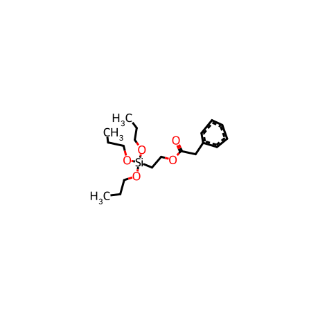 CCCO[Si](CCOC(=O)Cc1ccccc1)(OCCC)OCCC